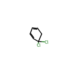 ClC1(Cl)C=CC=[C]C1